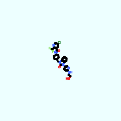 O=C(N[C@H]1CC[C@H](Cn2c(=O)n(-c3ccc(NCCO)nc3)c3ccccc32)CC1)c1cc(Cl)cnc1C(F)F